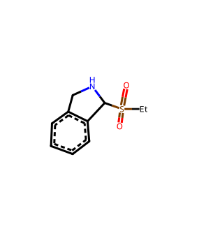 CCS(=O)(=O)C1NCc2ccccc21